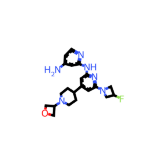 Nc1ccnc(Nc2cc(C3CCN(C4COC4)CC3)cc(N3CC(F)C3)n2)c1